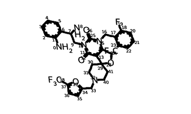 Nc1ccccc1C(N)Cn1c(=O)c2c(n(Cc3c(F)cccc3C(F)(F)F)c1=O)COC21CCN(Cc2ccc(C(F)(F)F)o2)CC1